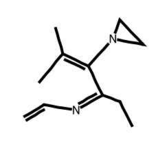 C=C/N=C(/CC)C(=C(C)C)N1CC1